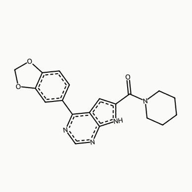 O=C(c1cc2c(-c3ccc4c(c3)OCO4)ncnc2[nH]1)N1CCCCC1